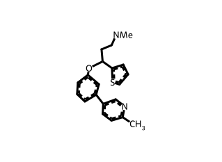 CNCCC(Oc1cccc(-c2ccc(C)nc2)c1)c1cccs1